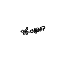 CC1CCN(C(=O)NCCc2ccc(S(=O)(=O)NC(=O)NC3CCCCCC3)cc2)C(=O)C1